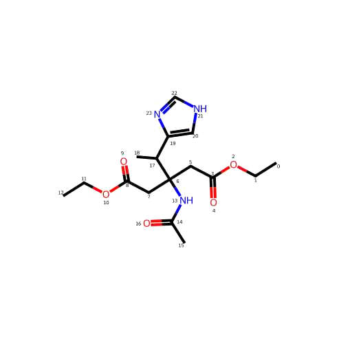 CCOC(=O)CC(CC(=O)OCC)(NC(C)=O)C(C)c1c[nH]cn1